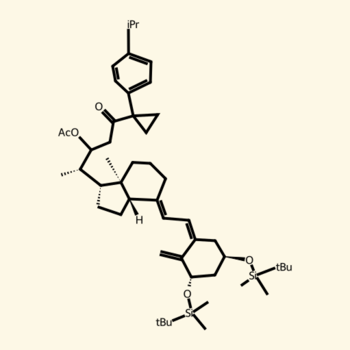 C=C1/C(=C\C=C2/CCC[C@]3(C)[C@@H]([C@H](C)C(CC(=O)C4(c5ccc(C(C)C)cc5)CC4)OC(C)=O)CC[C@@H]23)C[C@@H](O[Si](C)(C)C(C)(C)C)C[C@@H]1O[Si](C)(C)C(C)(C)C